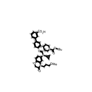 COCCCN1C(=O)COc2ccc(N(C(=O)[C@H]3CN(C(=O)OC(C)(C)C)CC[C@@H]3c3cccc(-c4cccc(C(=O)O)c4)c3)C3CC3)cc21